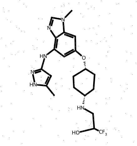 Cc1cc(Nc2cc(O[C@H]3CC[C@@H](NCC(O)C(F)(F)F)CC3)cc3c2ncn3C)n[nH]1